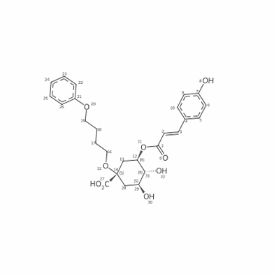 O=C(C=Cc1ccc(O)cc1)O[C@@H]1C[C@](OCCCCOc2ccccc2)(C(=O)O)C[C@H](O)[C@H]1O